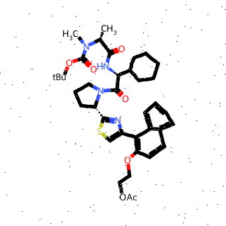 CC(=O)OCCOc1ccc2ccccc2c1-c1csc([C@@H]2CCCN2C(=O)[C@@H](NC(=O)[C@H](C)N(C)C(=O)OC(C)(C)C)C2CCCCC2)n1